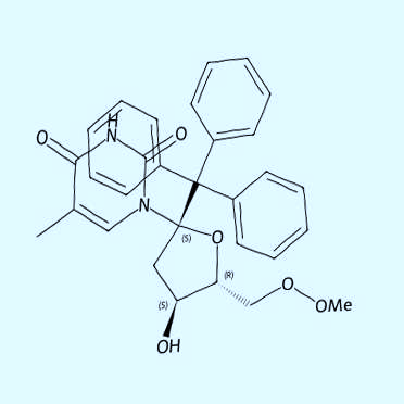 COOC[C@H]1O[C@](n2cc(C)c(=O)[nH]c2=O)(C(c2ccccc2)(c2ccccc2)c2ccccc2)C[C@@H]1O